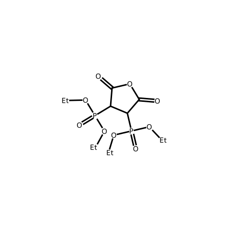 CCOP(=O)(OCC)C1C(=O)OC(=O)C1P(=O)(OCC)OCC